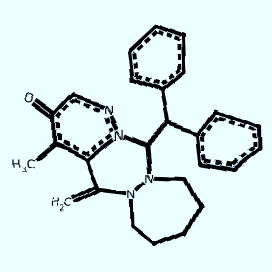 C=C1c2c(C)c(=O)cnn2C(C(c2ccccc2)c2ccccc2)N2CCCCCN12